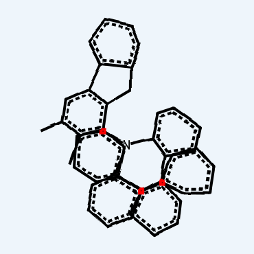 Cc1cc2c(c(N(c3ccccc3-c3ccccc3)c3ccccc3-c3ccccc3-c3ccccc3)c1C)Cc1ccccc1-2